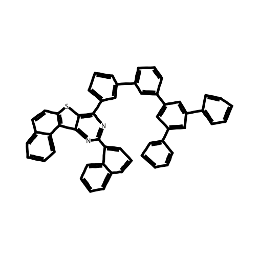 c1ccc(-c2cc(-c3ccccc3)cc(-c3cccc(-c4cccc(-c5nc(-c6cccc7ccccc67)nc6c5sc5ccc7ccccc7c56)c4)c3)c2)cc1